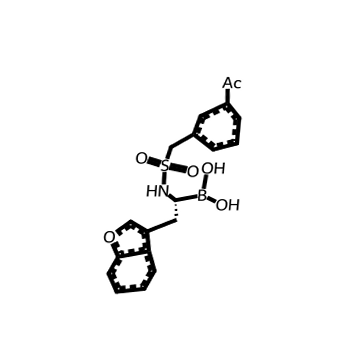 CC(=O)c1cccc(CS(=O)(=O)N[C@@H](Cc2coc3ccccc23)B(O)O)c1